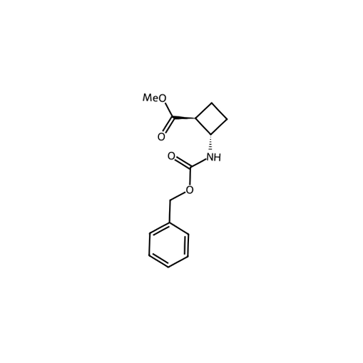 COC(=O)[C@H]1CC[C@@H]1NC(=O)OCc1ccccc1